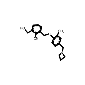 Cc1cc(CN2CCC2)ccc1OCc1cccc(CO)c1C#N